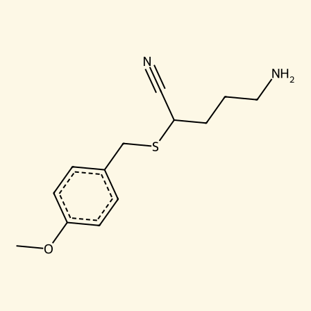 COc1ccc(CSC(C#N)CCCN)cc1